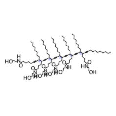 CCCCCCCCCC#C/C(CCCC(=O)NCCO)=C(/C#C/C(CCCC(=O)NCCO)=C(/C#C/C(CCCC(=O)NCCO)=C(/C#C/C(CCCC(=O)NCCO)=C(/C#C/C(CCCC(=O)NCCO)=C(/C#CCCCCC(=O)NCCO)CCCCCCCC)CCCCCCCC)CCCCCCCC)CCCCCCCC)CCCCCCCC